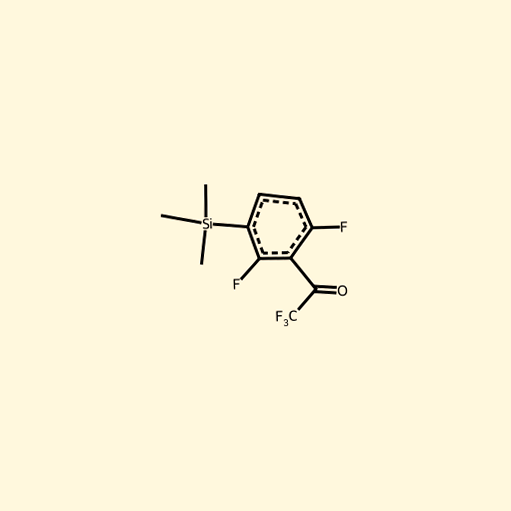 C[Si](C)(C)c1ccc(F)c(C(=O)C(F)(F)F)c1F